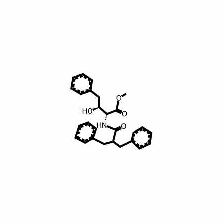 COC(=O)[C@H](NC(=O)C(Cc1ccccc1)Cc1ccccc1)[C@@H](O)Cc1ccccc1